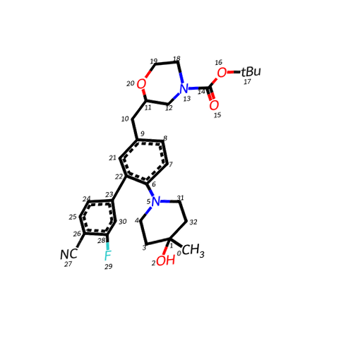 CC1(O)CCN(c2ccc(CC3CN(C(=O)OC(C)(C)C)CCO3)cc2-c2ccc(C#N)c(F)c2)CC1